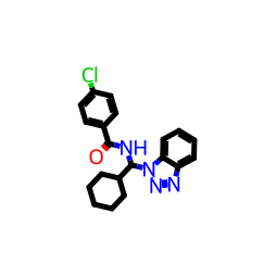 O=C(NC(C1CCCCC1)n1nnc2ccccc21)c1ccc(Cl)cc1